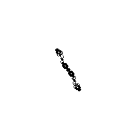 CC1(C)COP(OCCOc2ccc(C(C)(C)c3ccc(OCCOP4OCC(C)(C)CO4)cc3)cc2)OC1